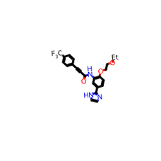 CCOCCOc1ccc(-c2ncc[nH]2)cc1NC(=O)C#Cc1ccc(C(F)(F)F)cc1